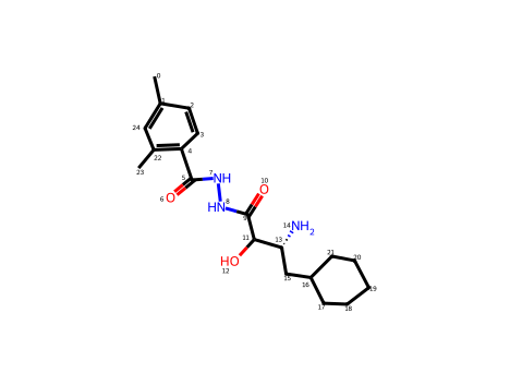 Cc1ccc(C(=O)NNC(=O)C(O)[C@H](N)CC2CCCCC2)c(C)c1